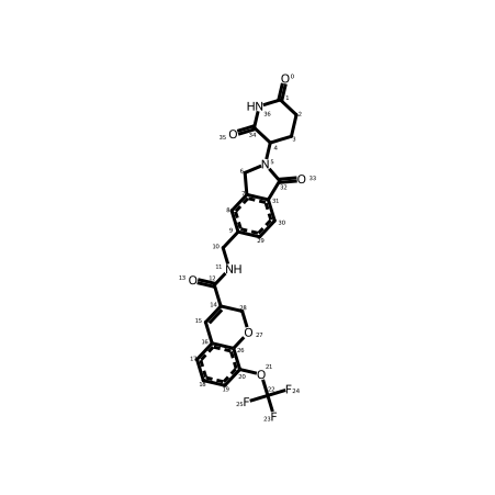 O=C1CCC(N2Cc3cc(CNC(=O)C4=Cc5cccc(OC(F)(F)F)c5OC4)ccc3C2=O)C(=O)N1